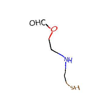 O=COCNCS